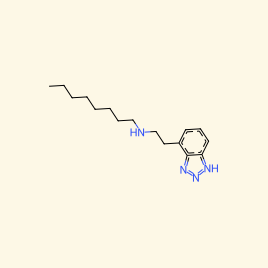 CCCCCCCCNCCc1cccc2[nH]nnc12